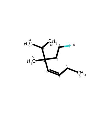 CC/C=C\C(C)(CCF)C(C)C